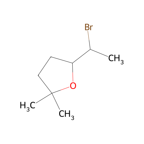 CC(Br)C1CCC(C)(C)O1